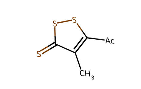 CC(=O)c1ssc(=S)c1C